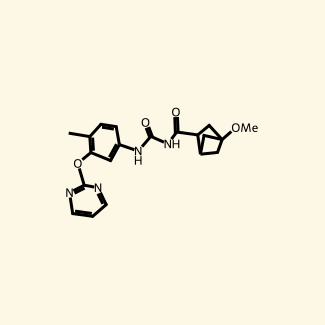 COC12CC(C1)C(C(=O)NC(=O)Nc1ccc(C)c(Oc3ncccn3)c1)C2